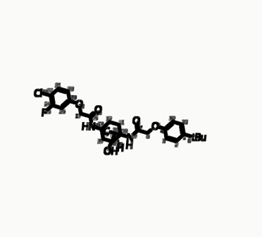 CC(C)(C)c1ccc(OCC(=O)NC23CCC(NC(=O)COc4ccc(Cl)c(F)c4)(CC2)C[C@@H]3O)cc1